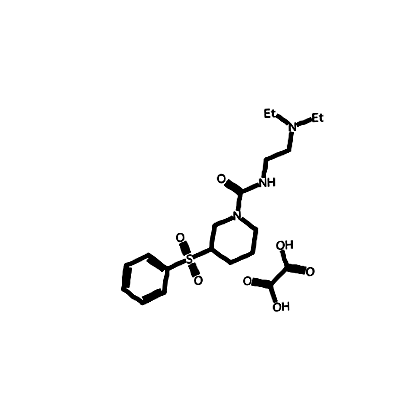 CCN(CC)CCNC(=O)N1CCCC(S(=O)(=O)c2ccccc2)C1.O=C(O)C(=O)O